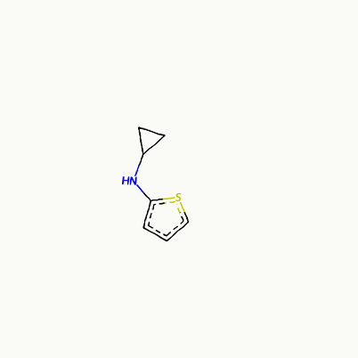 c1csc(NC2CC2)c1